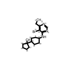 CCc1ncnc(NC2CCC(C3(C)CCCC3)CC2)c1Br